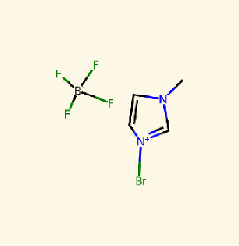 Cn1cc[n+](Br)c1.F[B-](F)(F)F